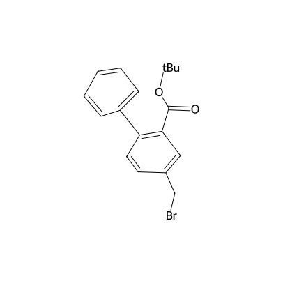 CC(C)(C)OC(=O)c1cc(CBr)ccc1-c1ccccc1